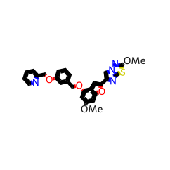 COc1cc(OCc2cccc(OCc3ccccn3)c2)c2cc(-c3cn4nc(OC)sc4n3)oc2c1